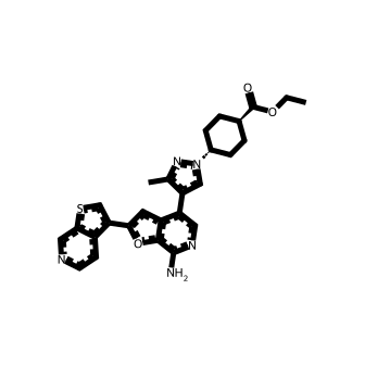 CCOC(=O)[C@H]1CC[C@H](n2cc(-c3cnc(N)c4oc(-c5csc6cnccc56)cc34)c(C)n2)CC1